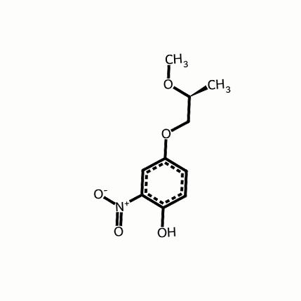 CO[C@@H](C)COc1ccc(O)c([N+](=O)[O-])c1